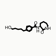 O=C(N[C@H]1CCCCNC1=O)c1ccc(CCCCCO)cc1